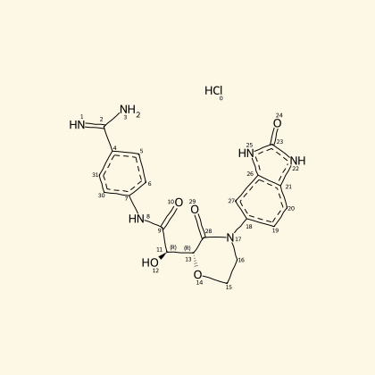 Cl.N=C(N)c1ccc(NC(=O)[C@H](O)[C@H]2OCCN(c3ccc4[nH]c(=O)[nH]c4c3)C2=O)cc1